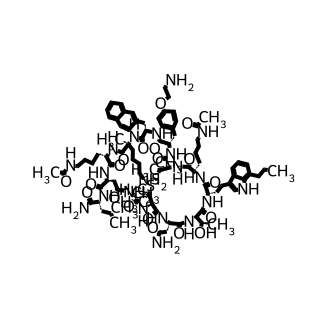 CCCc1cccc2c(CC[C@@H]3NC(=O)[C@H]([C@@H](C)O)NC(=O)[C@H](CC(N)=O)NC(=O)[C@@H](NC(C)=O)C(C)(C)SSC(C)(C)[C@@H](C(=O)N[C@@H](Cc4ccc(OCCN)cc4)C(=O)N[C@@H](Cc4ccc5ccccc5c4)C(=O)N[C@@](C)(CCCCN)C(=O)N[C@@H](CCCCNC(C)=O)C(=O)N[C@@H](CC(N)=O)C(=O)N[C@H](CC(C)C)C(N)=O)NC(=O)[C@H](CCCCNC(C)=O)NC3=O)c[nH]c12